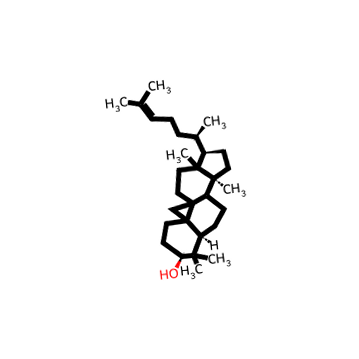 CC(C)=CCC[C@@H](C)[C@H]1CC[C@@]2(C)C3CC[C@H]4C(C)(C)[C@@H](O)CCC45CC35CCC12C